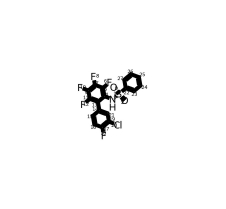 O=S(=O)(Nc1c(F)c(F)c(F)c(F)c1-c1ccc(F)c(Cl)c1)c1ccccc1